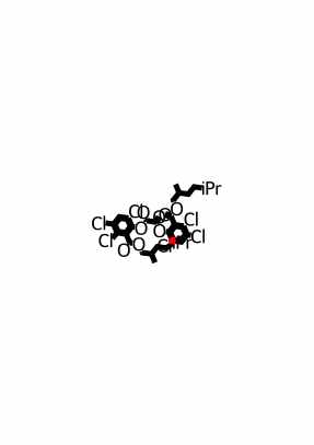 CC(C)CCC(C)COC(=O)c1c(Cl)c(Cl)cc(Cl)c1OC(=O)C(=O)Oc1c(Cl)cc(Cl)c(Cl)c1C(=O)OCC(C)CCC(C)C